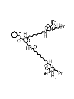 CC(C)CC(=O)N(CC(=O)NCCCCCCCC(=O)NCCCC[C@H](NC(=O)CCCCCCCNC(=O)CN(C[C@@H](N)CC(C)C)C(=O)CC(C)C)C(=O)NC1CCCCCC1)C[C@@H](N)CC(C)C